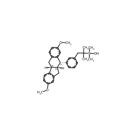 COc1ccc2c(c1)C[C@H]1[C@@H](c3cccc(CC(C)(C)[Si](C)(C)O)c3)c3cc(OC)ccc3C[C@@H]21